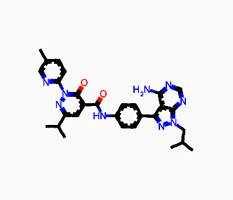 Cc1ccc(-n2nc(C(C)C)cc(C(=O)Nc3ccc(-c4nn(CC(C)C)c5ncnc(N)c45)cc3)c2=O)nc1